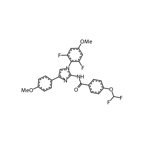 COc1ccc(-c2cn(-c3c(F)cc(OC)cc3F)c(NC(=O)c3ccc(OC(F)F)cc3)n2)cc1